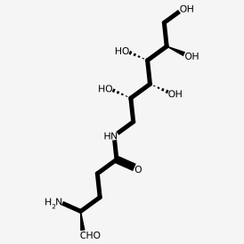 N[C@H](C=O)CCC(=O)NC[C@H](O)[C@@H](O)[C@H](O)[C@H](O)CO